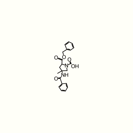 CC1(NC(=O)c2ccccc2)CC(C(=O)OCc2ccccc2)N(C(=O)O)C1